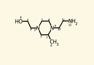 CC1CN(CCO)CCN1CCN